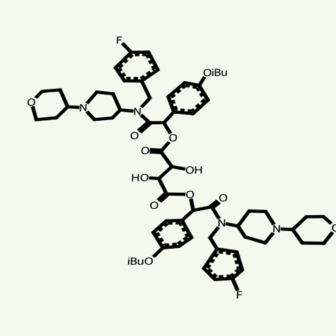 CC(C)COc1ccc(C(OC(=O)C(O)C(O)C(=O)OC(C(=O)N(Cc2ccc(F)cc2)C2CCN(C3CCOCC3)CC2)c2ccc(OCC(C)C)cc2)C(=O)N(Cc2ccc(F)cc2)C2CCN(C3CCOCC3)CC2)cc1